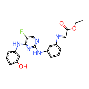 CCOC(=O)/C=N/c1cccc(Nc2ncc(F)c(Nc3cccc(O)c3)n2)c1